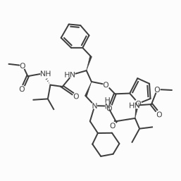 COC(=O)N[C@H](C(=O)N[C@@H](Cc1ccccc1)[C@H](CN(CC1CCCCC1)NC(=O)[C@@H](NC(=O)OC)C(C)C)OC(=O)c1ccco1)C(C)C